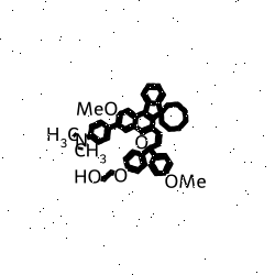 COc1ccc(C2(c3ccc(OCCO)cc3)C=Cc3c4c(c5cc(OC)c(-c6ccc(N(C)C)cc6)cc5c3O2)-c2ccccc2C42CCCCCCC2)cc1